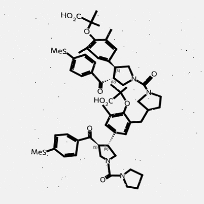 CSc1ccc(C(=O)[C@H]2CN(C(=O)N3CCC(Cc4cc([C@@H]5CN(C(=O)N6CCCC6)C[C@H]5C(=O)c5ccc(SC)cc5)cc(C)c4OC(C)(C)C(=O)O)C3)C[C@@H]2c2cc(C)c(OC(C)(C)C(=O)O)c(C)c2)cc1